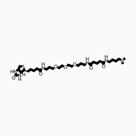 CN(C)CCCCNC(=O)CCCC(=O)NCCCOCCOCCOCCCNC(=O)CCCC[C@@H]1SCC2NC(=O)N[C@@H]21